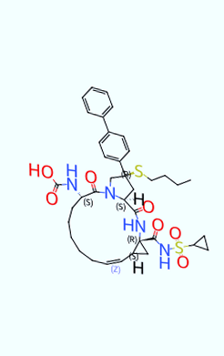 CCCCS[C@@]1(c2ccc(-c3ccccc3)cc2)C[C@H]2C(=O)N[C@]3(C(=O)NS(=O)(=O)C4CC4)C[C@H]3/C=C\CCCCC[C@H](NC(=O)O)C(=O)N2C1